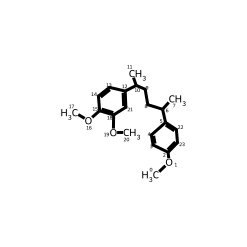 COc1ccc(C(C)CCC(C)c2ccc(OC)c(OC)c2)cc1